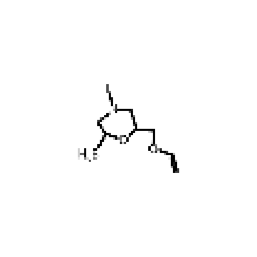 BC1CN(I)CC(COC=C)O1